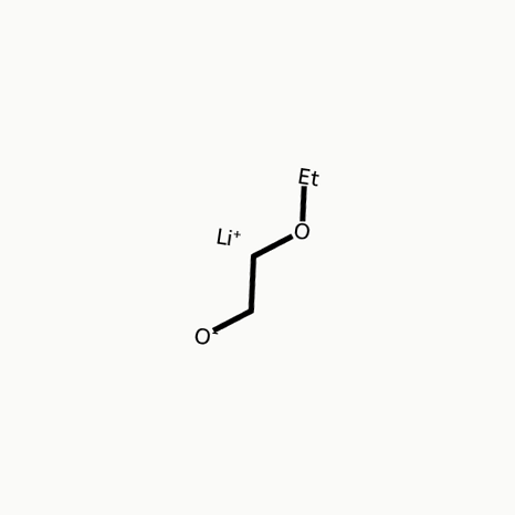 CCOCC[O-].[Li+]